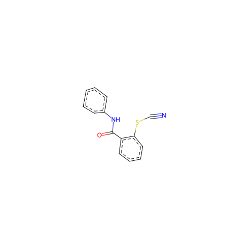 N#CSc1ccccc1C(=O)Nc1ccccc1